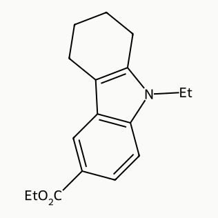 CCOC(=O)c1ccc2c(c1)c1c(n2CC)CCCC1